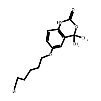 CC1(C)OC(=O)Nc2ccc(OCCCCCBr)cc21